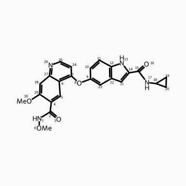 CONC(=O)c1cc2c(Oc3ccc4[nH]c(C(=O)NC5CC5)cc4c3)ccnc2cc1OC